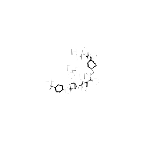 CCS(=N)(=O)c1ccc(CNC(=O)c2cnc(N3C[C@@H](Oc4ccc(C(F)(F)F)cc4)C[C@H]3COC(F)F)s2)cc1